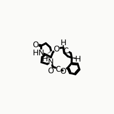 O=C1CCC[C@]2(CCCN3C(=O)COc4ccccc4[C@H]4CC[C@H](CC4)OC[C@@H]32)N1